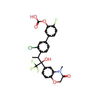 CC(c1ccc(-c2ccc(F)c(OC(=O)O)c2)cc1Cl)C(O)(c1ccc2c(c1)N(C)C(=O)CO2)C(F)(F)F